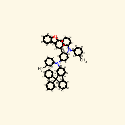 Cc1cccc(N(c2ccc(N(c3ccccc3)c3cccc(C)c3)c(-c3ccc4oc5ccccc5c4c3)c2)c2ccc3c(c2)C(c2ccccc2)(c2ccccc2)c2ccccc2-3)c1